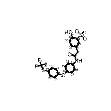 CS(=O)(=O)c1cc(CC(=O)Nc2ccc(Oc3ccc(SC(F)(F)F)cc3)cc2)ccc1O